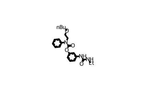 CCCCOCCN(C(=O)Oc1cccc(NC(=O)NCC)c1)c1ccccc1